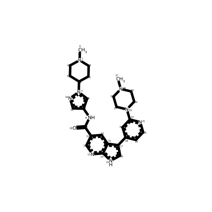 CN1CCC(n2cc(NC(=O)c3cnc4[nH]cc(-c5ccnc(N6CCN(C)CC6)c5)c4c3)cn2)CC1